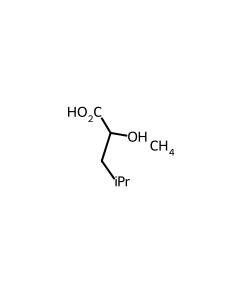 C.CC(C)CC(O)C(=O)O